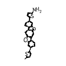 Cc1ccc(-c2ccc3c(c2)oc2cc4c(cc23)oc2cc(-c3ccc(N)s3)ccc24)s1